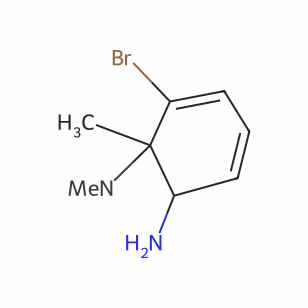 CNC1(C)C(Br)=CC=CC1N